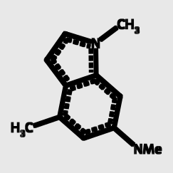 CNc1cc(C)c2ccn(C)c2c1